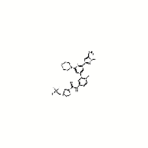 Cc1ccc(NC(=O)N2CC[C@@H](CC(F)(F)F)C2)cc1-c1cc(-c2cc(N)n(C)n2)nc(N2CCOCC2)c1